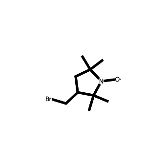 CC1(C)CC(CBr)C(C)(C)N1[O]